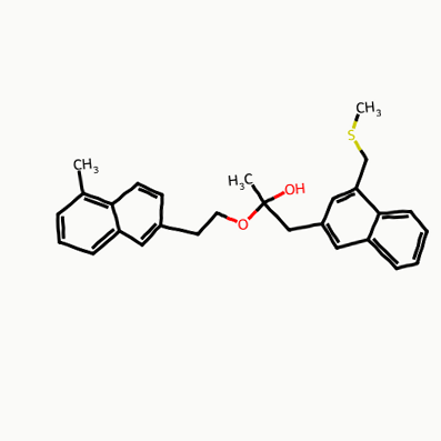 CSCc1cc(CC(C)(O)OCCc2ccc3c(C)cccc3c2)cc2ccccc12